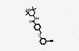 C#Cc1cccc(OCc2ccc(C(=O)NC3CC(C)(C)NC(C)(C)C3)cc2)c1